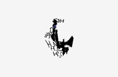 C=Cc1cc(-c2c(C3CC3)nc(N3CCN(C(=O)/C=C/CCO)[C@H](C(C)C)C3)c(N)c2C)ccn1